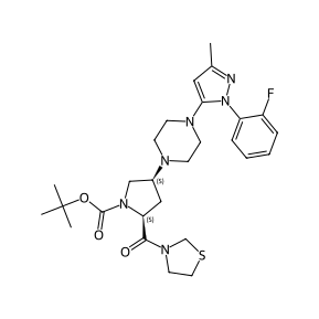 Cc1cc(N2CCN([C@H]3C[C@@H](C(=O)N4CCSC4)N(C(=O)OC(C)(C)C)C3)CC2)n(-c2ccccc2F)n1